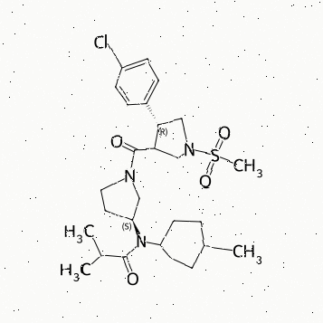 CC1CCC(N(C(=O)C(C)C)[C@H]2CCN(C(=O)C3CN(S(C)(=O)=O)C[C@H]3c3ccc(Cl)cc3)C2)CC1